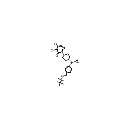 CC(C)(C)[Si](C)(C)OCc1ccc(N(C2CC2)[C@H]2CC[C@H](n3ncc(Cl)c(Cl)c3=O)CC2)cc1